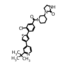 CC(C)(C)c1cc(-c2csc(-c3ccc(C(=O)N4CCCC(N5CCNC5=O)C4)cc3Cl)c2)ccn1